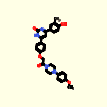 COc1ccc(N2CCN(C(=O)COc3ccc(-c4cc(-c5ccc(O)c(C)c5)nc(=O)[nH]4)cc3)CC2)cc1